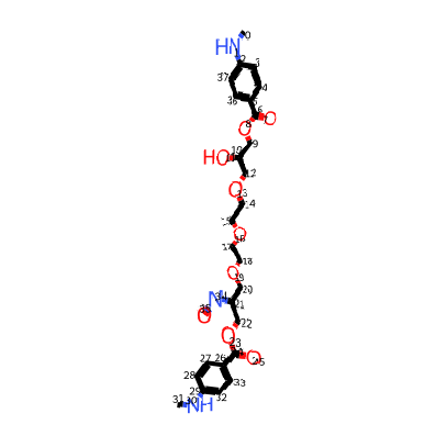 CNc1ccc(C(=O)OCC(O)COCCOCCOCC(COC(=O)c2ccc(NC)cc2)N=O)cc1